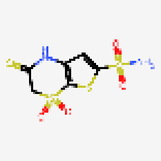 NS(=O)(=O)c1cc2c(s1)S(=O)(=O)CC(=S)N2